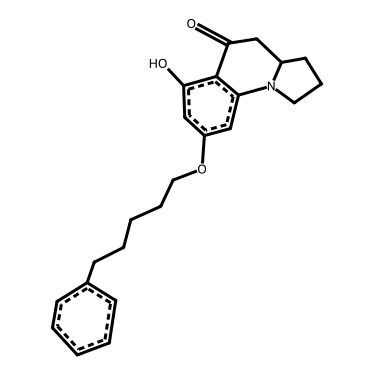 O=C1CC2CCCN2c2cc(OCCCCCc3ccccc3)cc(O)c21